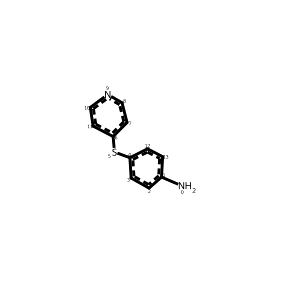 Nc1ccc(Sc2ccncc2)cc1